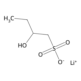 CCC(O)CS(=O)(=O)[O-].[Li+]